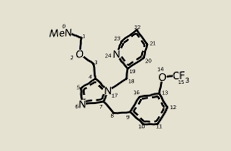 CNCOCc1cnc(Cc2cccc(OC(F)(F)F)c2)n1Cc1ccccn1